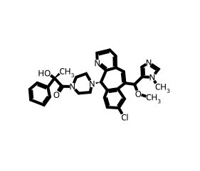 COC(C1=Cc2cccnc2[C@@H](N2CCN(C(=O)[C@@](C)(O)c3ccccc3)CC2)c2ccc(Cl)cc21)c1cncn1C